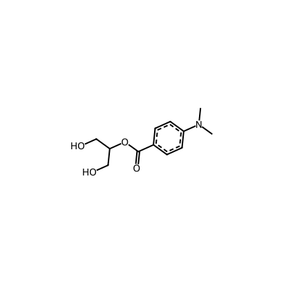 CN(C)c1ccc(C(=O)OC(CO)CO)cc1